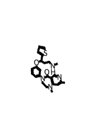 CNCCC(Oc1cccc(N2CCN(C)c3cc(C)ncc3C2=O)c1)c1cccs1